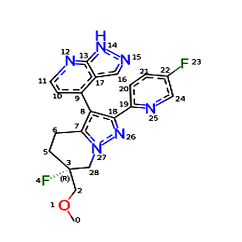 COC[C@@]1(F)CCc2c(-c3ccnc4[nH]ncc34)c(-c3ccc(F)cn3)nn2C1